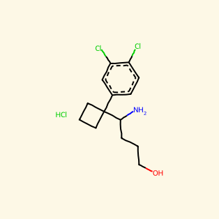 Cl.NC(CCCO)C1(c2ccc(Cl)c(Cl)c2)CCC1